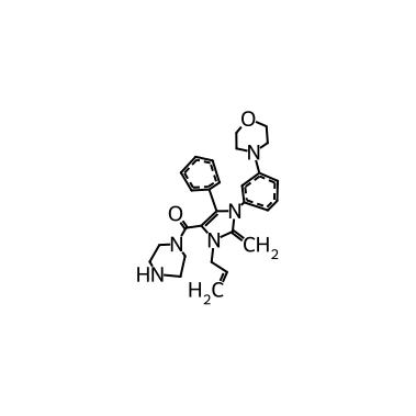 C=CCN1C(=C)N(c2cccc(N3CCOCC3)c2)C(c2ccccc2)=C1C(=O)N1CCNCC1